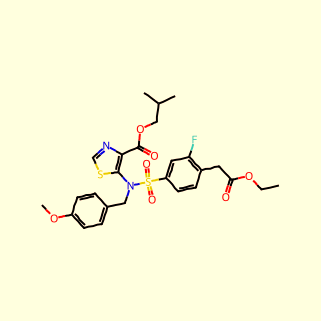 CCOC(=O)Cc1ccc(S(=O)(=O)N(Cc2ccc(OC)cc2)c2scnc2C(=O)OCC(C)C)cc1F